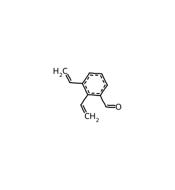 C=Cc1cccc(C=O)c1C=C